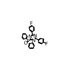 O=P(c1ccccc1)(c1ccccc1)c1nc(-c2ccc(F)cc2)nc(-c2ccc(F)cc2)n1